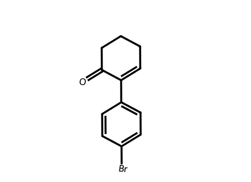 O=C1CCCC=C1c1ccc(Br)cc1